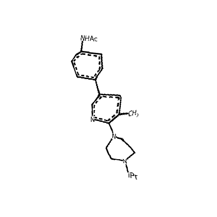 CC(=O)Nc1ccc(-c2cnc(N3CCN(C(C)C)CC3)c(C)c2)cc1